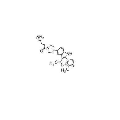 Cc1cc(-c2[nH]c3ccc(C4CCN(C(=O)CCCCN)CC4)cc3c2C(C)C)ccn1